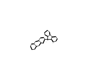 OC1(c2ccc3cc4ccccc4cc3c2)c2ccccc2-c2ccccc21